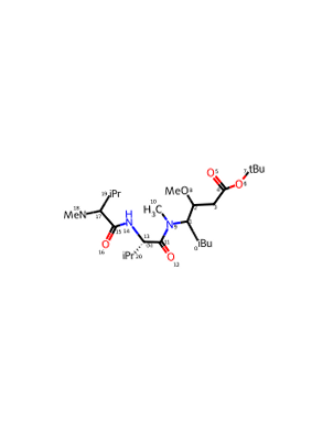 CCC(C)C(C(CC(=O)OC(C)(C)C)OC)N(C)C(=O)[C@@H](NC(=O)C(NC)C(C)C)C(C)C